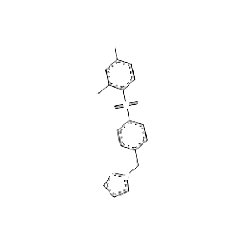 O=S(=O)(c1ccc(Cn2cccn2)cc1)c1ccc(C(F)(F)F)cc1Cl